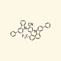 N#Cc1cc(-n2c3ccccc3c3cc(-c4ccccc4)ccc32)c(-c2ccccc2C(F)(F)F)cc1-n1c2ccccc2c2cc(-c3ccccc3)ccc21